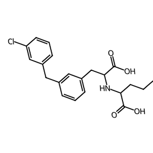 CCCC(NC(Cc1cccc(Cc2cccc(Cl)c2)c1)C(=O)O)C(=O)O